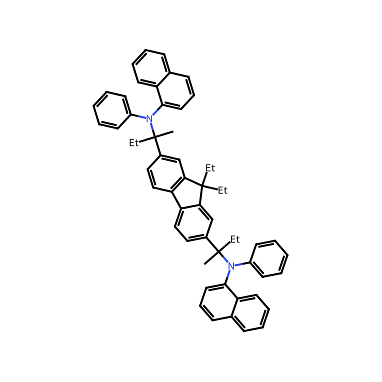 CCC1(CC)c2cc(C(C)(CC)N(c3ccccc3)c3cccc4ccccc34)ccc2-c2ccc(C(C)(CC)N(c3ccccc3)c3cccc4ccccc34)cc21